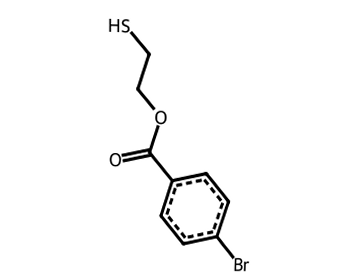 O=C(OCCS)c1ccc(Br)cc1